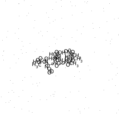 CC[C@@]1(O)C(=O)OCc2c1cc1n(c2=O)Cc2c-1nc1cc3c(cc1c2C12CC(NC(=O)OCc4ccc(NC(=O)[C@H](C)NC(=O)[C@@H](NC(=O)CN5C(=O)C=CC5=O)C(C)C)cc4CC[C@@H]4O[C@H](C(=O)O)[C@@H](O)[C@H](O)[C@H]4O)(C1)C2)OCO3